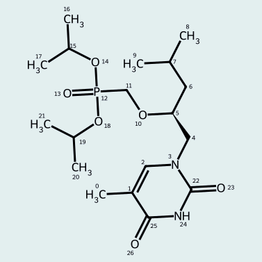 Cc1cn(C[C@H](CC(C)C)OCP(=O)(OC(C)C)OC(C)C)c(=O)[nH]c1=O